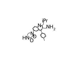 Cc1ccc(-c2c(CN)c(CC(C)C)nc3ccc(N4CCNC(=O)C4=O)cc23)cc1